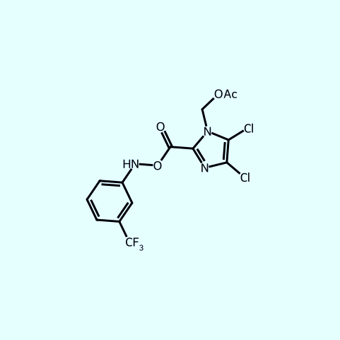 CC(=O)OCn1c(C(=O)ONc2cccc(C(F)(F)F)c2)nc(Cl)c1Cl